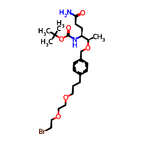 C[C@@H](OCc1ccc(CCCOCCOCCBr)cc1)[C@H](CCC(N)=O)NC(=O)OC(C)(C)C